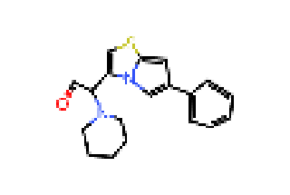 O=CC(c1csc2cc(-c3ccccc3)cn12)N1CCCCC1